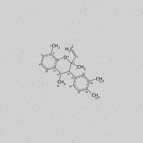 C=CC1(C)Oc2c(C)cccc2C(C)C1c1ccc(C)c(C)c1